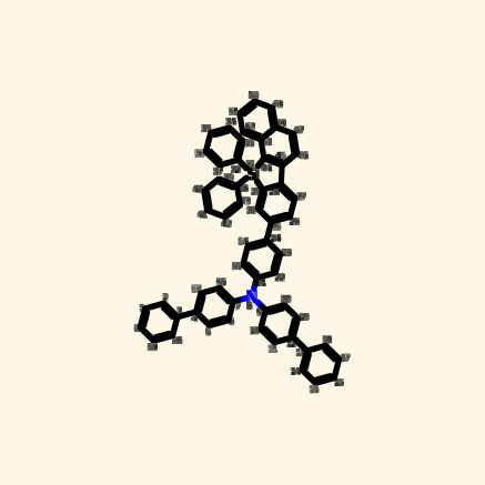 c1ccc(-c2ccc(N(c3ccc(-c4ccccc4)cc3)c3ccc(-c4ccc5c(c4)[Si](c4ccccc4)(c4ccccc4)c4c-5ccc5ccccc45)cc3)cc2)cc1